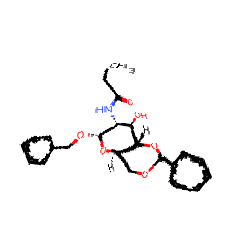 CCC(=O)N[C@H]1[C@@H](OCc2ccccc2)O[C@@H]2COC(c3ccccc3)O[C@H]2[C@@H]1O